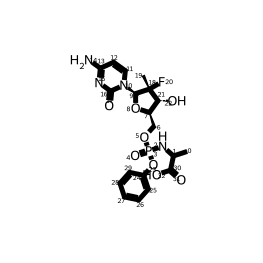 CC(NP(=O)(OC[C@H]1O[C@@H](n2ccc(N)nc2=O)[C@](C)(F)[C@@H]1O)Oc1ccccc1)C(=O)O